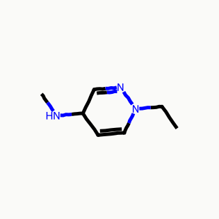 CCN1C=CC(NC)C=N1